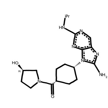 CC(C)Nc1ncc2nc(N)n([C@H]3CC[C@@H](C(=O)N4CC[C@@H](O)C4)CC3)c2n1